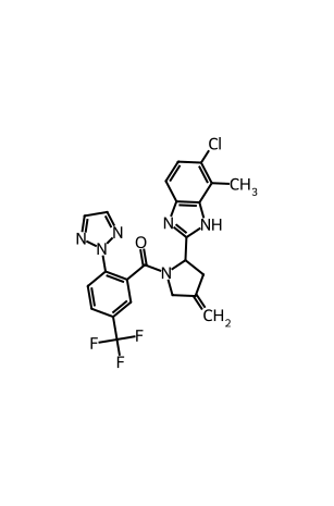 C=C1CC(c2nc3ccc(Cl)c(C)c3[nH]2)N(C(=O)c2cc(C(F)(F)F)ccc2-n2nccn2)C1